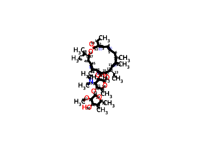 CC/C1=C\C=C\C[C@H](C)/C(C)=C/[C@H](CC)[C@@H](O[C@@H]2O[C@H](C)[C@@H](O[C@@H]3O[C@H](C)[C@@H](C)[C@H](O)[C@H]3OC)[C@H](N(C)C)[C@H]2O)/C(C)=C/C(C)=C/C[C@@H](C(C)C)OC1=O